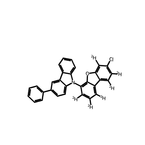 [2H]c1c([2H])c([2H])c2c(oc3c([2H])c(Cl)c([2H])c([2H])c32)c1-n1c2ccccc2c2cc(-c3ccccc3)ccc21